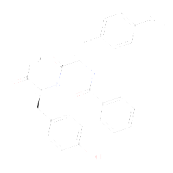 COC(=O)[C@H](Cc1ccc(O)cc1)NC(=O)[C@H](Cc1ccc([N+](=O)[O-])cc1)NC(=O)c1ccccc1